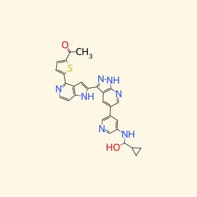 CC(=O)c1ccc(-c2nccc3[nH]c(-c4n[nH]c5ncc(-c6cncc(NC(O)C7CC7)c6)cc45)cc23)s1